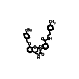 CCCCc1ccc(COc2cccc3c2OC2(C)CC3NC(=O)N2c2cccc(C(=O)NCCc3ccc(C)cc3)c2)cc1